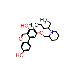 CCCC(CC)N1CCCCC1COc1cc(O)c(C=O)c(-c2ccc(O)cc2)c1